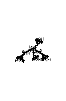 CC(C)(C)c1cc(CCC(=O)NCCCCCC(NC(=O)CCc2cc(C(C)(C)C)c(O)c(C(C)(C)C)c2)N(CCCNC(=O)CCc2cc(C(C)(C)C)c(O)c(C(C)(C)C)c2)C(=O)CCc2cc(C(C)(C)C)c(O)c(C(C)(C)C)c2)cc(C(C)(C)C)c1O